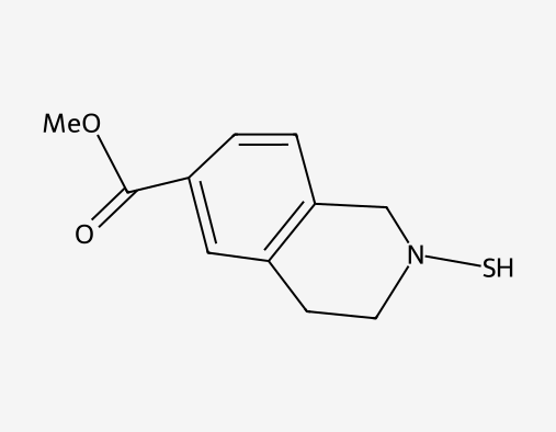 COC(=O)c1ccc2c(c1)CCN(S)C2